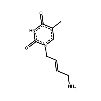 Cc1cn(CC=CCN)c(=O)[nH]c1=O